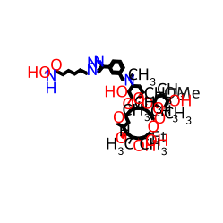 CC[C@H]1OC(=O)[C@H](C)[C@@H](O[C@H]2C[C@@](C)(OC)[C@@H](O)[C@H](C)O2)[C@H](C)[C@@H](O[C@@H]2O[C@H](C)C[C@H](N(C)Cc3cccc(-c4cn(CCCCCC(=O)NO)nn4)c3)[C@H]2O)[C@@]2(C)C[C@@H](CO2)C(=O)[C@H](C)[C@@H](O)[C@]1(C)O